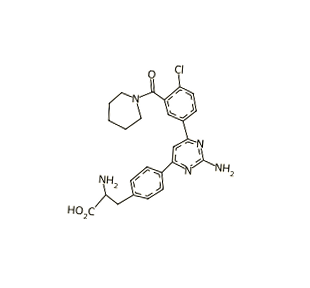 Nc1nc(-c2ccc(CC(N)C(=O)O)cc2)cc(-c2ccc(Cl)c(C(=O)N3CCCCC3)c2)n1